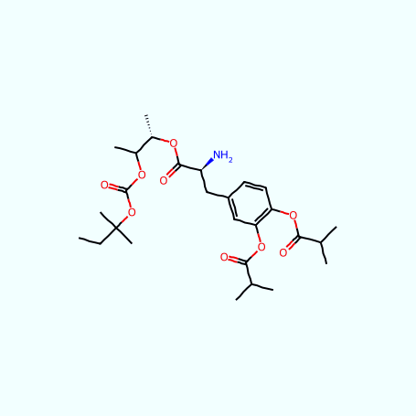 CCC(C)(C)OC(=O)OC(C)[C@H](C)OC(=O)[C@@H](N)Cc1ccc(OC(=O)C(C)C)c(OC(=O)C(C)C)c1